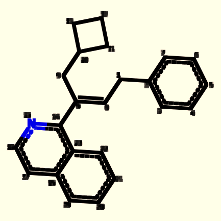 C(Cc1ccccc1)=C(CC1CCC1)c1nccc2ccccc12